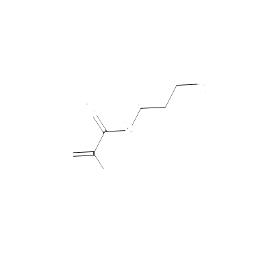 C=C(C)C(=O)NCCCBr